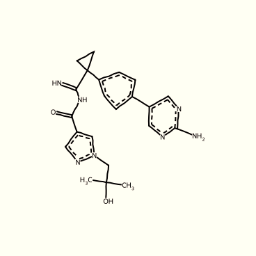 CC(C)(O)Cn1cc(C(=O)NC(=N)C2(c3ccc(-c4cnc(N)nc4)cc3)CC2)cn1